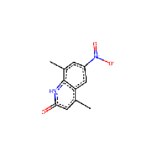 Cc1cc(=O)[nH]c2c(C)cc([N+](=O)[O-])cc12